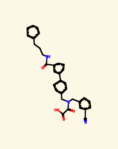 N#Cc1cccc(CN(Cc2ccc(-c3cccc(C(=O)NCCCc4ccccc4)c3)cc2)C(=O)C(=O)O)c1